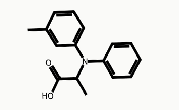 Cc1cccc(N(c2ccccc2)C(C)C(=O)O)c1